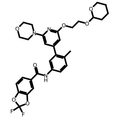 Cc1ccc(NC(=O)c2ccc3c(c2)OC(F)(F)O3)cc1-c1cc(OCCOC2CCCCO2)nc(N2CCOCC2)c1